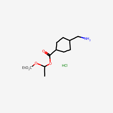 CCOC(=O)OC(C)OC(=O)C1CCC(CN)CC1.Cl